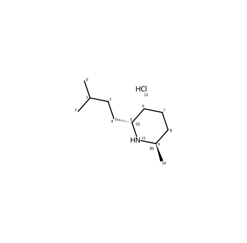 CC(C)CC[C@@H]1CCC[C@@H](C)N1.Cl